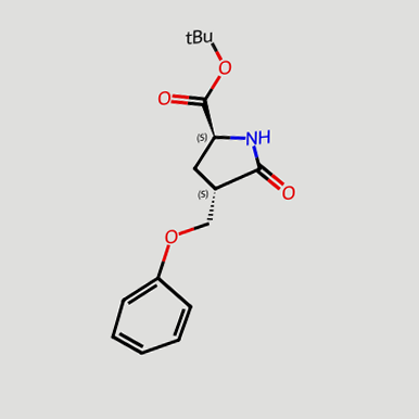 CC(C)(C)OC(=O)[C@@H]1C[C@@H](COc2ccccc2)C(=O)N1